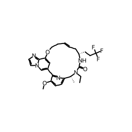 CCN1C(=O)N[C@@H](CCC(F)(F)F)C/C=C/CCOc2cc(cn3ccnc23)-c2nc(ccc2OC)[C@H]1C